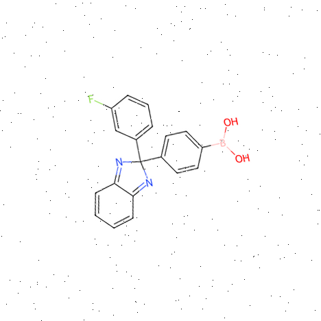 OB(O)c1ccc(C2(c3cccc(F)c3)N=c3ccccc3=N2)cc1